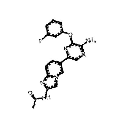 CC(=O)Nc1cn2cc(-c3cnc(N)c(Oc4cccc(F)c4)n3)ccc2n1